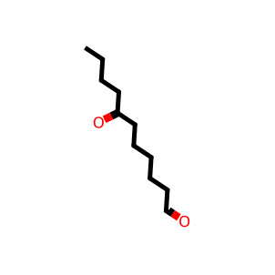 CCCCC(=O)CCCCCC=O